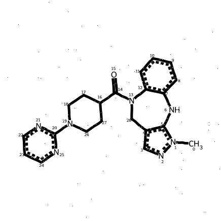 Cn1ncc2c1Nc1ccccc1N(C(=O)C1CCN(c3ncccn3)CC1)C2